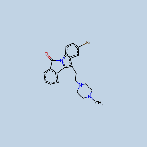 CN1CCN(CCc2c3n(c4ccc(Br)cc24)C(=O)c2ccccc2-3)CC1